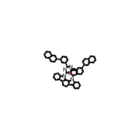 c1ccc(-n2c3ccccc3c3ccc4c5ccccc5n(-c5nc(-c6cccc(-c7ccc8ccccc8c7)c6)nc(-c6cccc(-c7ccc8ccccc8c7)c6)n5)c4c32)cc1